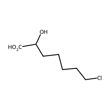 O=C(O)C(O)CCCCCCl